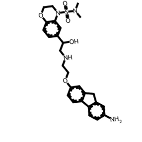 CN(C)S(=O)(=O)N1CCOc2ccc(C(O)CNCCOc3ccc4c(c3)Cc3cc(N)ccc3-4)cc21